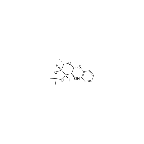 C[C@@H]1O[C@H](Sc2ccccc2)[C@@H](O)[C@@H]2OC(C)(C)O[C@@H]21